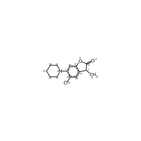 CC1C(=O)Oc2cc(N3CCCCC3)c(Cl)cc21